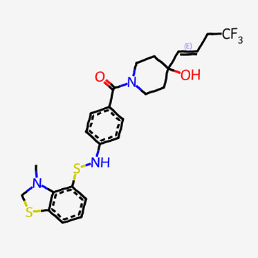 CN1CSc2cccc(SNc3ccc(C(=O)N4CCC(O)(/C=C/CC(F)(F)F)CC4)cc3)c21